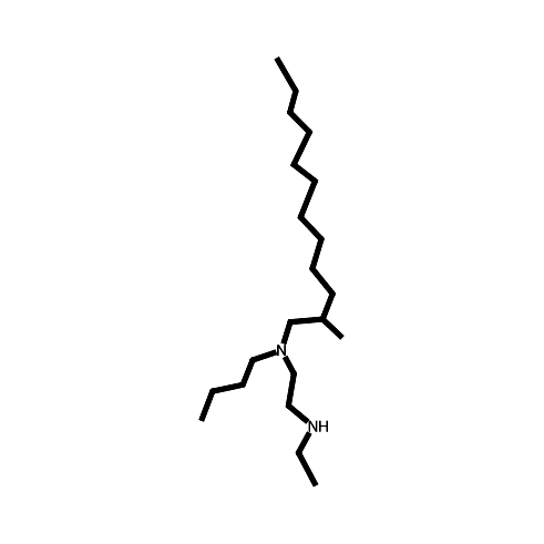 CCCCCCCCCCC(C)CN(CCCC)CCNCC